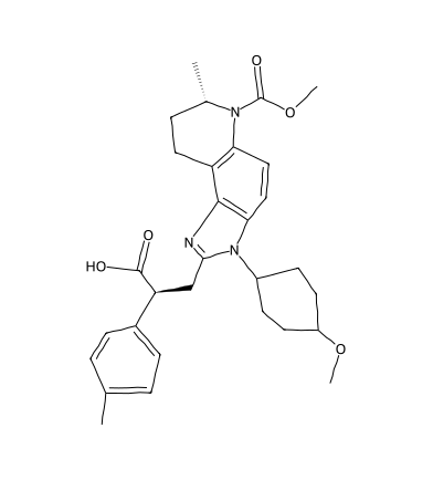 COC(=O)N1c2ccc3c(nc(C[C@H](C(=O)O)c4ccc(C)cc4)n3C3CCC(OC)CC3)c2CC[C@@H]1C